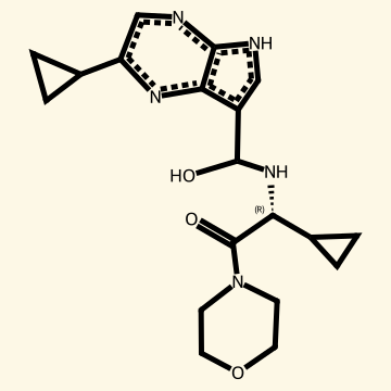 O=C([C@H](NC(O)c1c[nH]c2ncc(C3CC3)nc12)C1CC1)N1CCOCC1